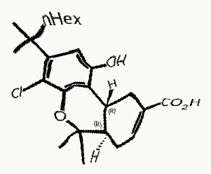 CCCCCCC(C)(C)c1cc(O)c2c(c1Cl)OC(C)(C)[C@@H]1CC=C(C(=O)O)C[C@@H]21